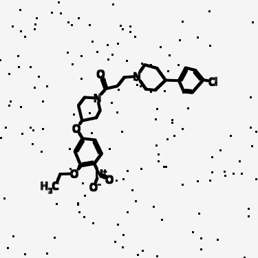 CCOc1cc(OC2CCN(C(=O)CCN3CCC(c4ccc(Cl)cc4)CC3)CC2)ccc1[N+](=O)[O-]